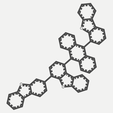 c1ccc2c(c1)oc1cc(-c3ccc(-c4c5ccccc5c(-c5cccc6c5oc5ccccc56)c5ccccc45)c4c3oc3ccccc34)ccc12